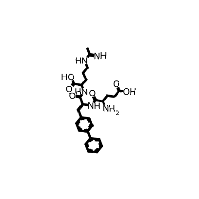 CC(=N)NCCCC(NC(=O)C(Cc1ccc(-c2ccccc2)cc1)NC(=O)C(N)CCC(=O)O)C(=O)O